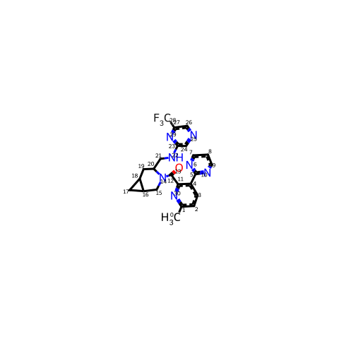 Cc1ccc(-c2ncccn2)c(C(=O)N2CC3CC3CC2CNc2cncc(C(F)(F)F)n2)n1